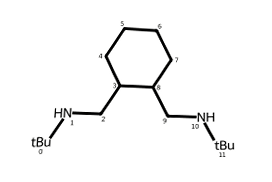 CC(C)(C)NCC1CCCCC1CNC(C)(C)C